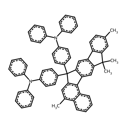 Cc1ccc2c(c1)C(C)(C)c1cc3c(cc1-2)C(c1ccc(N(c2ccccc2)c2ccccc2)cc1)(c1ccc(N(c2ccccc2)c2ccccc2)cc1)c1cc(C)c2ccccc2c1-3